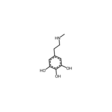 CNCCc1cc(O)c(O)c(O)c1